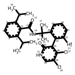 CC(C)c1cccc(C(C)C)c1C(=O)NC(C)(C)c1ccc[c]([Hf])c1-c1c(Cl)c(Cl)c[nH]c1=O